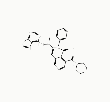 C[C@H](Nc1ncnc2scnc12)c1cc2cccc(C(=O)N3CCOCC3)c2c(=O)n1-c1ccccc1